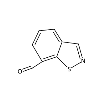 O=Cc1cccc2cnsc12